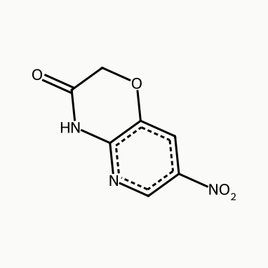 O=C1COc2cc([N+](=O)[O-])cnc2N1